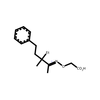 CCC(C)(CCc1ccccc1)/C(C)=N/OCC(=O)O